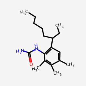 CCCCCC(CC)c1cc(C)c(C)c(C)c1NC(N)=O